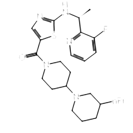 CCCC1CCCN(C2CCN(C(=O)c3cnc(N[C@@H](C)c4ncccc4F)s3)CC2)C1